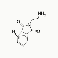 NCCN1C(=O)C2C3C=C[C@@H](C3)C2C1=O